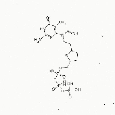 Cc1c(N(C=N)CCC2CCC(COP(=O)(O)OP(=O)(O)OP(=O)(O)O)O2)nc(N)[nH]c1=O